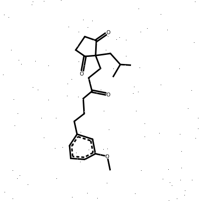 COc1cccc(CCCC(=O)CCC2(CC(C)C)C(=O)CCC2=O)c1